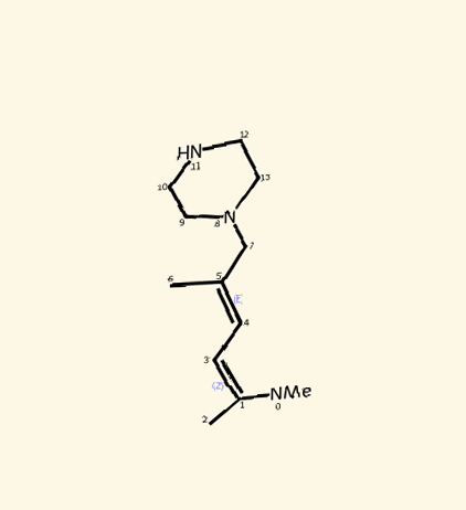 CN/C(C)=C\C=C(/C)CN1CCNCC1